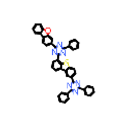 c1ccc(-c2nc(-c3ccccc3)nc(-c3ccc4sc5c(-c6nc(-c7ccccc7)nc(-c7ccc8c(c7)oc7ccccc78)n6)cccc5c4c3)n2)cc1